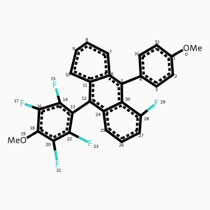 COc1ccc(-c2c3ccccc3c(-c3c(F)c(F)c(OC)c(F)c3F)c3cccc(F)c23)cc1